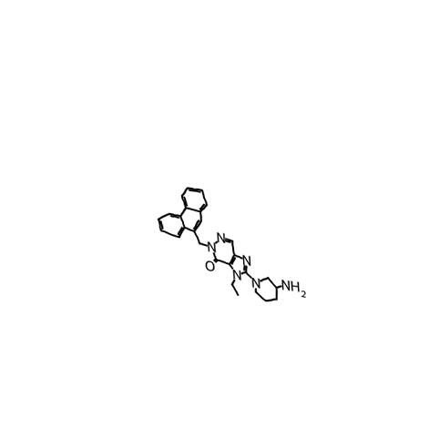 CCn1c(N2CCCC(N)C2)nc2cnn(Cc3cc4ccccc4c4ccccc34)c(=O)c21